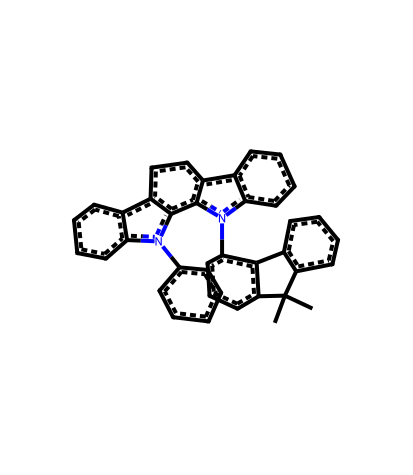 CC1(C)c2ccccc2-c2c(-n3c4ccccc4c4ccc5c6ccccc6n(-c6ccccc6)c5c43)cccc21